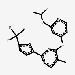 Cc1cnc(-c2ccc(C(F)(F)F)s2)nc1Oc1ccnc(OC(F)F)c1